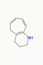 C1=CCC2=C(C=C1)NCCC2